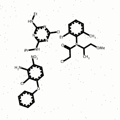 CCNc1nc(Cl)nc(NC(C)C)n1.CCc1cccc(C)c1N(C(=O)CCl)C(C)COC.Nc1c([N+](=O)[O-])ccc(Oc2ccccc2)c1Cl